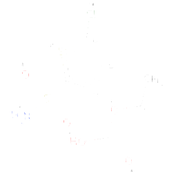 CCOC(=O)O.NS(=O)(=O)c1ccc(Cl)s1